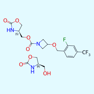 O=C1N[C@H](CO)CO1.O=C1N[C@H](COC(=O)N2CC(OCc3ccc(C(F)(F)F)cc3F)C2)CO1